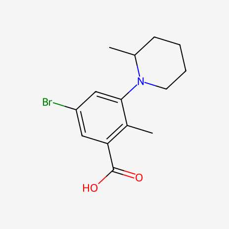 Cc1c(C(=O)O)cc(Br)cc1N1CCCCC1C